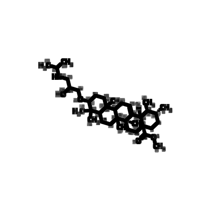 COC(=O)[C@]12CC[C@@H](C)[C@H](C)[C@H]1C1=CCC3[C@@]4(C)CC[C@H](OCC(O)CNC(C)C)C(C)(C)C4CC[C@@]3(C)[C@]1(C)CC2